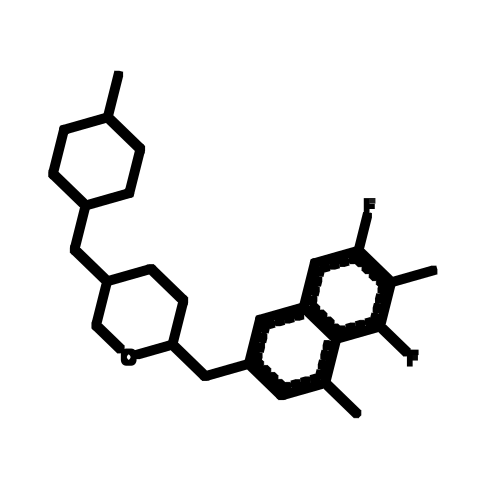 Cc1c(F)cc2cc(CC3CCC(CC4CCC(C)CC4)CO3)cc(C)c2c1F